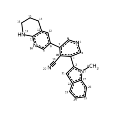 Cn1c(-c2cncc(-c3cnc4c(c3)CCCN4)c2C#N)cc2ccccc21